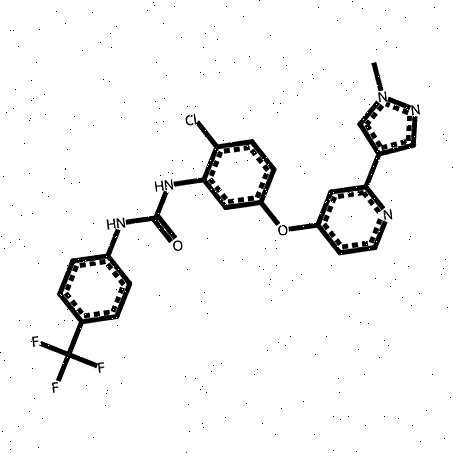 Cn1cc(-c2cc(Oc3ccc(Cl)c(NC(=O)Nc4ccc(C(F)(F)F)cc4)c3)ccn2)cn1